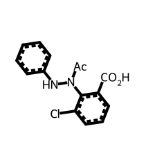 CC(=O)N(Nc1ccccc1)c1c(Cl)cccc1C(=O)O